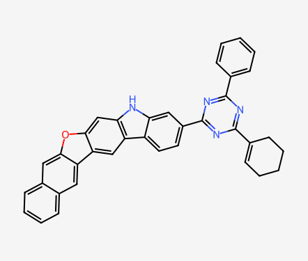 C1=C(c2nc(-c3ccccc3)nc(-c3ccc4c(c3)[nH]c3cc5oc6cc7ccccc7cc6c5cc34)n2)CCCC1